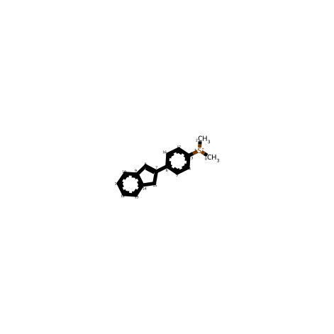 C[S+](C)c1ccc(C2=Cc3ccccc3C2)cc1